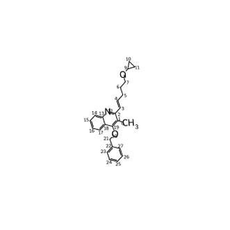 Cc1c(/C=C/CCCOC2CC2)nc2ccccc2c1OCc1ccccc1